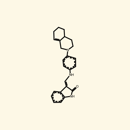 O=C1Nc2ccccc2C1=CNc1ccc(N2CCC3CCCC=C3C2)cc1